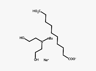 CCCCN(CCO)CCO.O=C([O-])CCCCCCCCC(=O)O.[Na+]